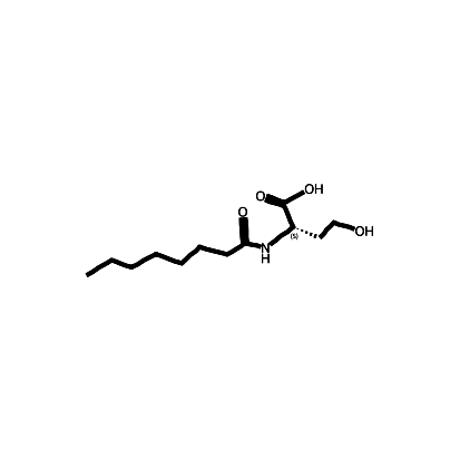 CCCCCCCC(=O)N[C@@H](CCO)C(=O)O